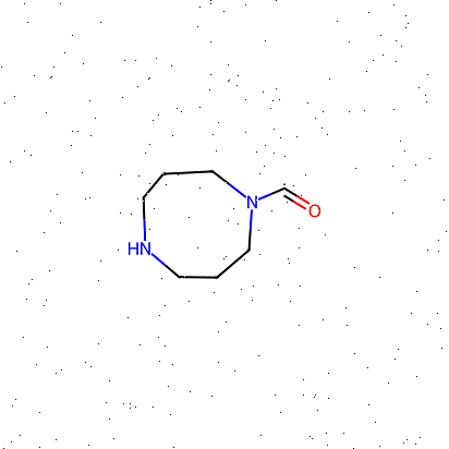 O=[C]N1CCCNCCC1